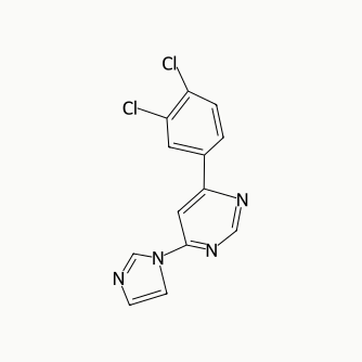 Clc1ccc(-c2cc(-n3ccnc3)ncn2)cc1Cl